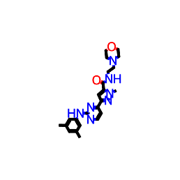 Cc1cc(C)cc(Nc2nccc(-c3cc(C(=O)NCCN4CCOCC4)n(C)n3)n2)c1